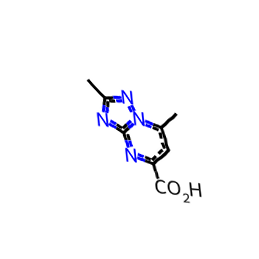 Cc1nc2nc(C(=O)O)cc(C)n2n1